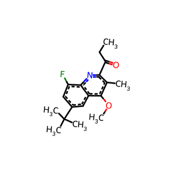 CCC(=O)c1nc2c(F)cc(C(C)(C)C)cc2c(OC)c1C